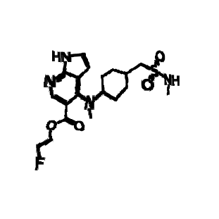 CNS(=O)(=O)CC1CCC(N(C)c2c(C(=O)OCCF)cnc3[nH]ccc23)CC1